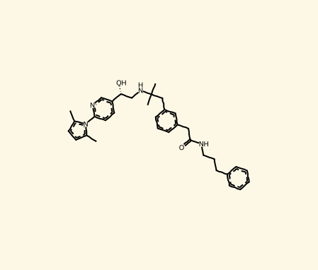 Cc1ccc(C)n1-c1ccc([C@H](O)CNC(C)(C)Cc2cccc(CC(=O)NCCCc3ccccc3)c2)cn1